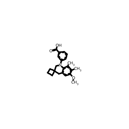 COc1cc2c(c(C)c1C)N(c1cccc(C(=O)O)c1)CC1(CCC1)C2